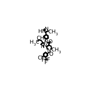 Cc1nc[nH]c1-c1ccc(-n2c(=O)c3c(n4ncc(CC(C)C)c24)CN(C(=O)c2ccc(Cl)c(C(F)(F)F)c2)[C@H](C)C3)cc1